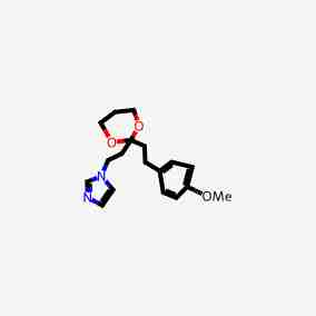 COc1ccc(CCC2(CCn3ccnc3)OCCCO2)cc1